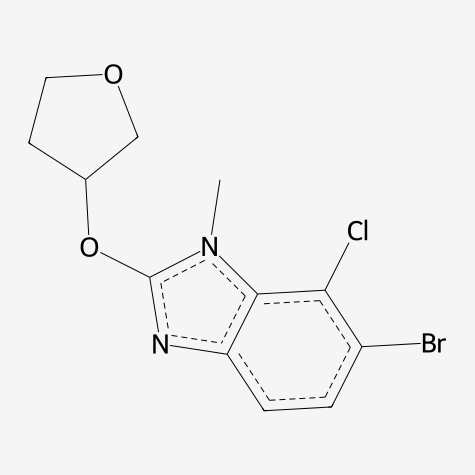 Cn1c(OC2CCOC2)nc2ccc(Br)c(Cl)c21